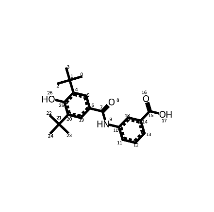 CC(C)(C)c1cc(C(=O)Nc2cccc(C(=O)O)c2)cc(C(C)(C)C)c1O